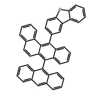 c1ccc2c(-c3c4ccccc4c(-c4ccc5oc6ccccc6c5c4)c4c3ccc3ccccc34)c3ccccc3cc2c1